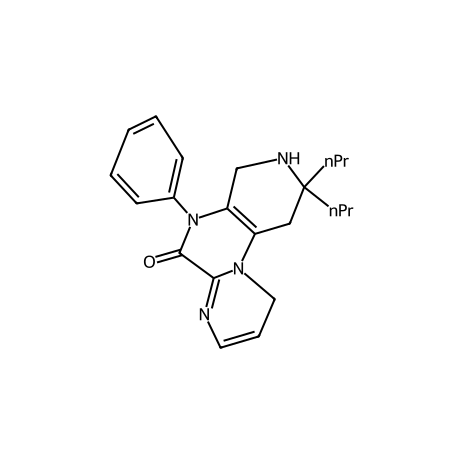 CCCC1(CCC)CC2=C(CN1)N(c1ccccc1)C(=O)C1=NC=CCN12